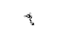 CC(C)(C)[Si](C)(C)OCCn1cnc2c(Cl)nc(Cl)nc21